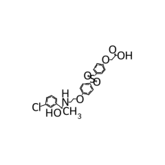 C[C@@](O)(NCCOc1ccc(S(=O)(=O)c2ccc(OCC(=O)O)cc2)cc1)c1cccc(Cl)c1